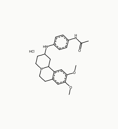 COc1cc2c(cc1OC)C1CC(Nc3ccc(NC(C)=O)cc3)CCN1CC2.Cl